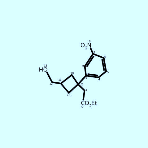 CCOC(=O)CC1(c2cccc([N+](=O)[O-])c2)CC(CO)C1